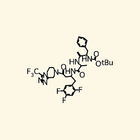 C=C(NC(C)C(=O)NC(CC(=O)N1CCn2c(nnc2C(F)(F)F)C1)Cc1cc(F)c(F)cc1F)C(Cc1ccccc1)NC(=O)OC(C)(C)C